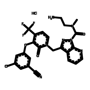 CN(CCN)C(=O)n1nc(Cn2ccc(C(F)(F)F)c(Oc3cc(Cl)cc(C#N)c3)c2=O)c2cccnc21.Cl